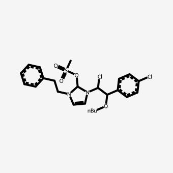 CCCCOC(c1ccc(Cl)cc1)C(Cl)N1C=CN(CCc2ccccc2)C1OS(C)(=O)=O